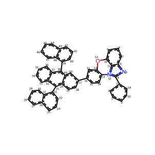 c1ccc(-c2nc3cccc4c3n2-c2ccc(-c3ccc5c(-c6cccc7ccccc67)c6ccccc6c(-c6cccc7ccccc67)c5c3)cc2O4)cc1